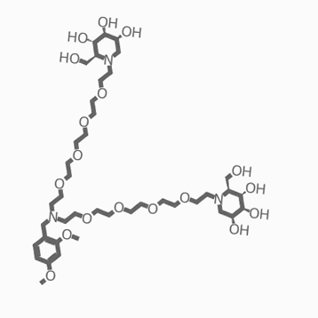 COc1ccc(CN(CCOCCOCCOCCOCCN2C[C@H](O)[C@H](O)[C@@H](O)[C@@H]2CO)CCOCCOCCOCCOCCN2C[C@H](O)[C@H](O)[C@@H](O)[C@@H]2CO)c(OC)c1